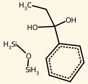 CCC(O)(O)c1ccccc1.[SiH3]O[SiH3]